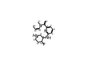 C=C(c1cccc(NC2CNCCC2F)n1)N(C)/C=C\C